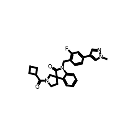 Cn1cc(-c2ccc(CN3C(=O)C4(CCN(C(=O)C5CCC5)C4)c4ccccc43)c(F)c2)cn1